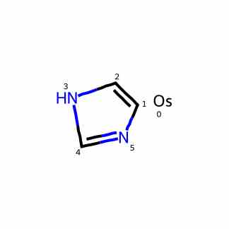 [Os].c1c[nH]cn1